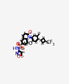 COC1=C(n2c(=O)ccc3cc(S(=O)(=O)Nc4ccon4)ccc32)CC(C)C([C@H]2C[C@H](C(F)(F)F)C2)=C1